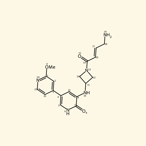 COc1cc(-c2c[nH]c(=O)c(NC3CN(C(=O)C=CCN)C3)c2)ccn1